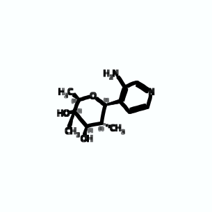 C[C@@H]1[C@@H](O)[C@](C)(O)[C@@H](C)O[C@H]1c1ccncc1N